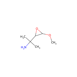 COC1OC1C(C)(C)N